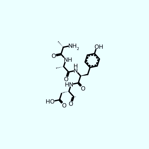 C[C@H](N)C(=O)N[C@@H](C)C(=O)N[C@@H](Cc1ccc(O)cc1)C(=O)N[C@H]([C]=O)CC(=O)O